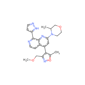 COCc1noc(C)c1-c1cc(N2CCOCC2C)nc2c(-c3ccn[nH]3)nccc12